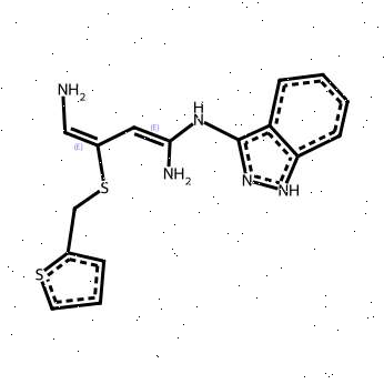 N/C=C(\C=C(/N)Nc1n[nH]c2ccccc12)SCc1cccs1